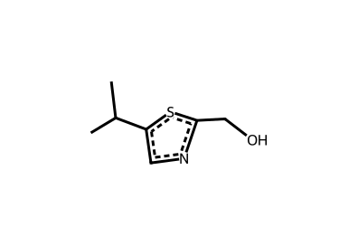 CC(C)c1cnc(CO)s1